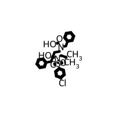 CC(C)CN(C(O)(CCN(Cc1ccccc1)C(=O)O)Cc1ccccc1)S(=O)(=O)c1ccc(Cl)cc1